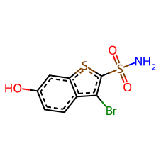 NS(=O)(=O)c1sc2cc(O)ccc2c1Br